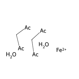 CC(=O)CC(C)=O.CC(=O)CC(C)=O.O.O.[Fe+2]